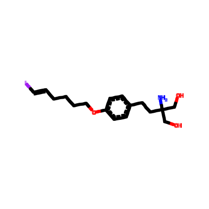 NC(CO)(CO)CCc1ccc(OCCCCC=CI)cc1